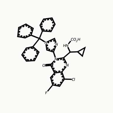 O=C(O)NC(c1nc2c(Cl)cc(F)cc2c(=O)n1-c1cn(C(c2ccccc2)(c2ccccc2)c2ccccc2)cn1)C1CC1